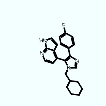 Fc1ccc(-c2ncn(CC3CCCCC3)c2-c2ccnc3[nH]ccc23)cc1